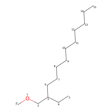 [CH2]OCC(CC)CCCCCCCCCC